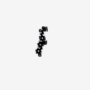 Cl.Cl.O=C(/C=C/c1cnc(N[C@@H]2CCCN(Cc3cccc(Cl)c3)C2)cn1)NO